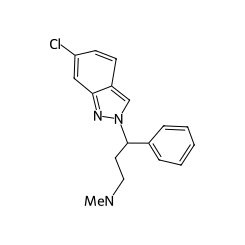 CNCCC(c1ccccc1)n1cc2ccc(Cl)cc2n1